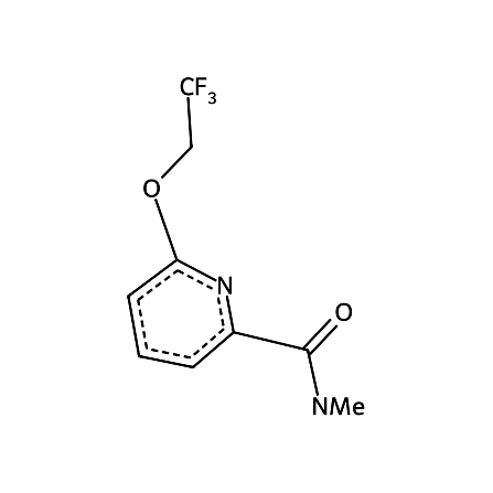 CNC(=O)c1cccc(OCC(F)(F)F)n1